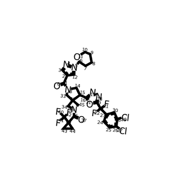 O=C(c1cnn(C2CCCCO2)c1)N1CC(c2nnc(C(F)(F)c3ccc(Cl)c(Cl)c3)o2)C2(C1)CN(C(=O)C1(C(F)(F)F)CC1)C2